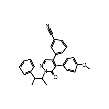 COc1ccc(-c2c(-c3cccc(C#N)c3)cnn(C(C)C(C)c3ccccc3)c2=O)cc1